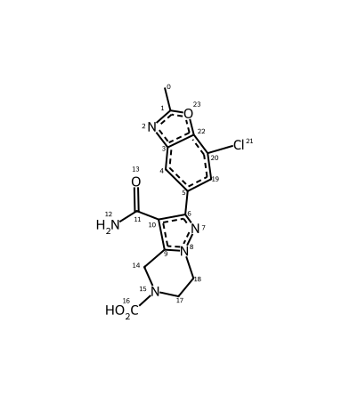 Cc1nc2cc(-c3nn4c(c3C(N)=O)CN(C(=O)O)CC4)cc(Cl)c2o1